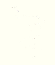 CCCc1nc2cc(-c3cn4ccccc4n3)ccc2n1Cc1ccc(-c2ccccc2OC(=O)OC(C)(C)C)cc1